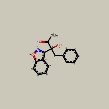 COC(=O)C(O)(Cc1ccccc1)c1noc2ccccc12